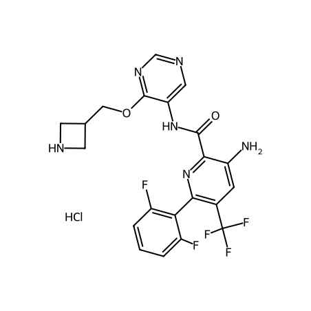 Cl.Nc1cc(C(F)(F)F)c(-c2c(F)cccc2F)nc1C(=O)Nc1cncnc1OCC1CNC1